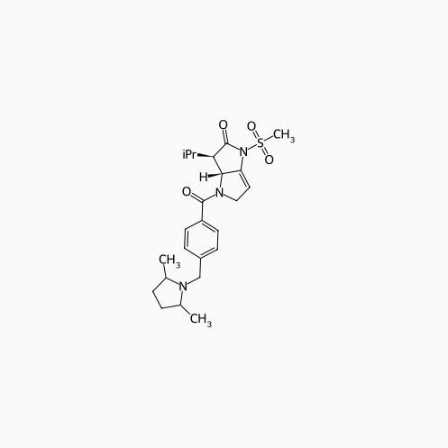 CC(C)[C@H]1C(=O)N(S(C)(=O)=O)C2=CCN(C(=O)c3ccc(CN4C(C)CCC4C)cc3)[C@@H]21